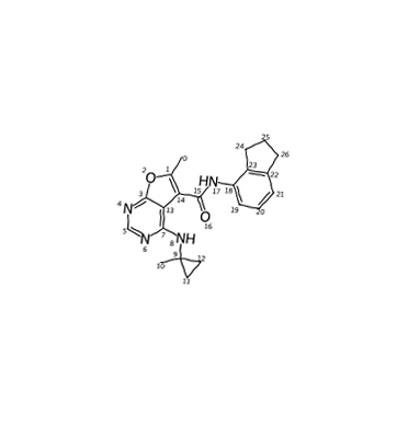 Cc1oc2ncnc(NC3(C)CC3)c2c1C(=O)Nc1cccc2c1CCC2